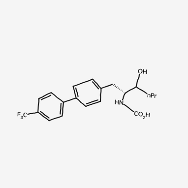 CCCC(O)[C@@H](Cc1ccc(-c2ccc(C(F)(F)F)cc2)cc1)NC(=O)O